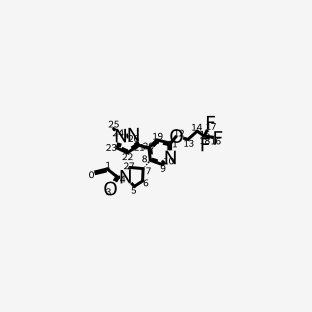 C=CC(=O)N1CC[C@@H](c2cnc(OCCC(F)(F)F)cc2-c2ccn(C)n2)C1